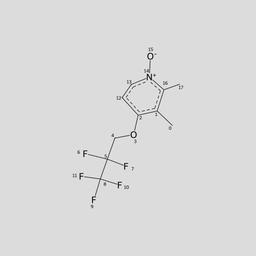 Cc1c(OCC(F)(F)C(F)(F)F)cc[n+]([O-])c1C